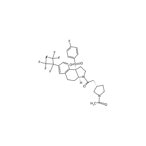 CC(=O)N1CC[C@@H](CC(=O)N2CC[C@]3(S(=O)(=O)c4ccc(F)cc4)c4ccc(C(F)(C(F)(F)F)C(F)(F)F)cc4CC[C@H]23)C1